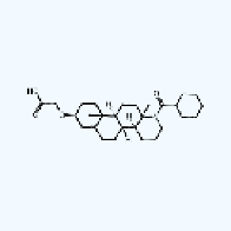 C[C@]12CC[C@H](OCC(=O)O)CC1CC[C@@H]1[C@@H]2CC[C@@]2(C)[C@H]1CCCN2C(=O)C1CCCCC1